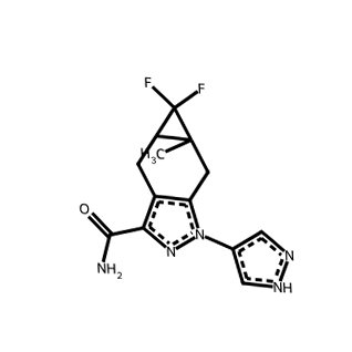 CC12Cc3c(c(C(N)=O)nn3-c3cn[nH]c3)CC1C2(F)F